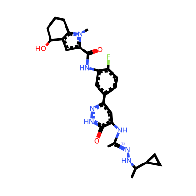 C/C(=N\NC(C)C1CC1)Nc1cc(-c2ccc(F)c(NC(=O)c3cc4c(n3C)CCCC4O)c2)n[nH]c1=O